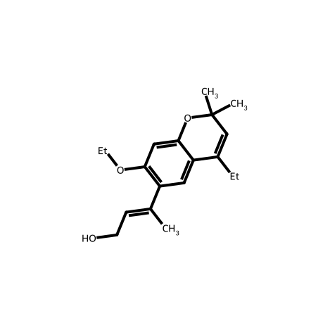 CCOc1cc2c(cc1C(C)=CCO)C(CC)=CC(C)(C)O2